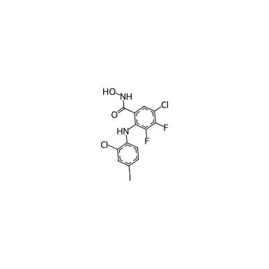 O=C(NO)c1cc(Cl)c(F)c(F)c1Nc1ccc(I)cc1Cl